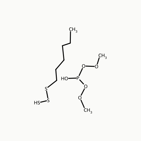 CCCCCCSSS.COOP(O)OOC